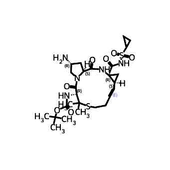 CC(C)(C)OC(=O)N[C@@H]1C(=O)N2C[C@H](N)C[C@H]2C(=O)N[C@]2(C(=O)NS(=O)(=O)C3CC3)C[C@H]2/C=C/CCSC1(C)C